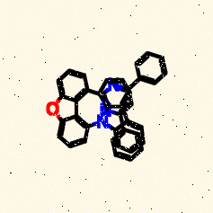 c1ccc(-c2cc(-c3ccccc3)nc(-c3cccc4oc5cccc(-n6c7ccccc7c7ccccc76)c5c34)n2)cc1